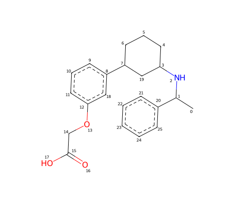 CC(NC1CCCC(c2cccc(OCC(=O)O)c2)C1)c1ccccc1